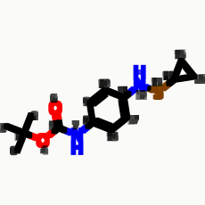 CC(C)(C)OC(=O)Nc1ccc(NSC2CC2)cc1